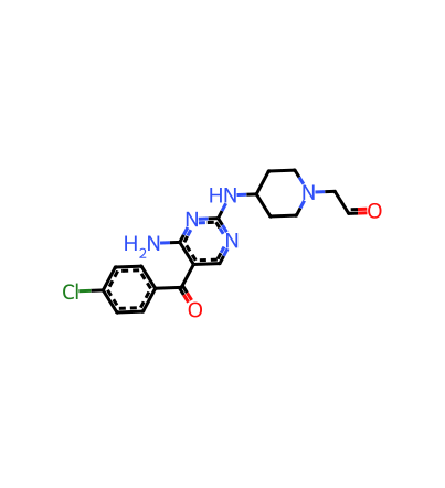 Nc1nc(NC2CCN(CC=O)CC2)ncc1C(=O)c1ccc(Cl)cc1